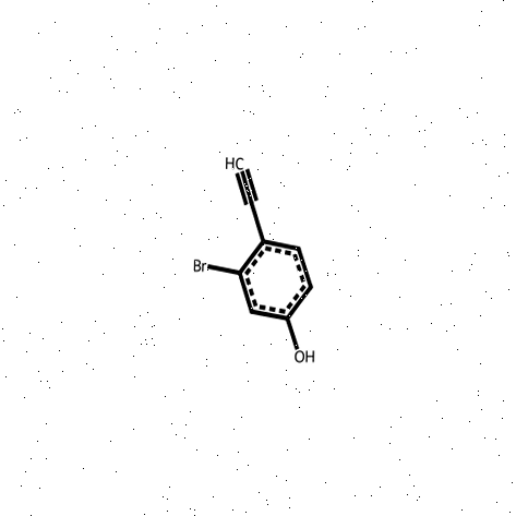 C#Cc1ccc(O)cc1Br